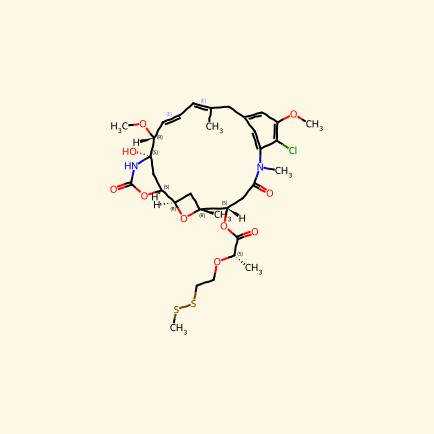 COc1cc2cc(c1Cl)N(C)C(=O)C[C@H](OC(=O)[C@H](C)OCCSSC)[C@@]1(C)C[C@@H](O1)[C@@H]1C[C@@](O)(NC(=O)O1)[C@H](OC)/C=C/C=C(\C)C2